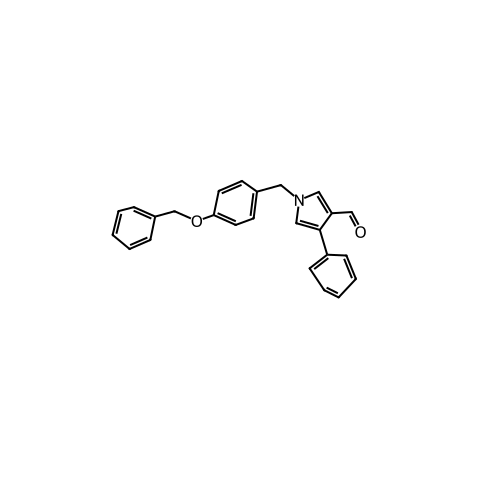 O=Cc1cn(Cc2ccc(OCc3ccccc3)cc2)cc1-c1ccccc1